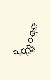 C[C@H]1CN([C@H]2CC[C@H](c3cc(-c4ccc(Oc5ccccc5)cc4)c4c(N)ncnn43)CC2)CCN1C(=O)OC(C)(C)C